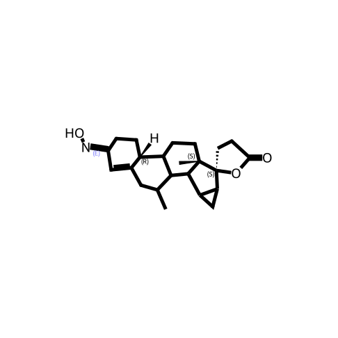 CC1CC2=C/C(=N/O)CC[C@@H]2C2CC[C@@]3(C)C(C4CC4[C@@]34CCC(=O)O4)C12